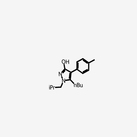 CCCCc1c(-c2ccc(C)cc2)c(O)nn1CC(C)C